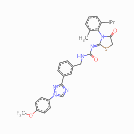 Cc1cccc(C(C)C)c1N1C(=O)CS/C1=N\C(=O)NCc1cccc(-c2ncn(-c3ccc(OC(F)(F)F)cc3)n2)c1